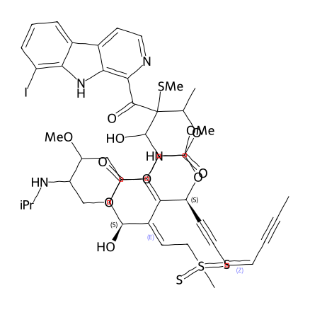 CC#C/C=C\C#C[C@H](OC1OC(C)C(SC)(C(=O)c2nccc3c2[nH]c2c(I)cccc23)C(O)C1OC1CC(OC)C(NC(C)C)CO1)C1=C(NC(=O)OC)C(=O)C[C@H](O)/C1=C/CS(C)(=S)=S